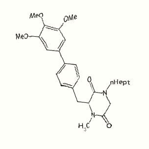 CCCCCCCN1CC(=O)N(C)C(Cc2ccc(-c3cc(OC)c(OC)c(OC)c3)cc2)C1=O